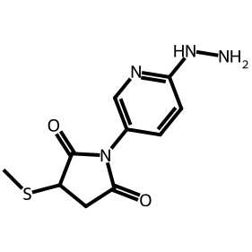 CSC1CC(=O)N(c2ccc(NN)nc2)C1=O